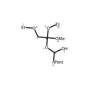 CCCCCC(O)OC(COCC)(OC)OCC